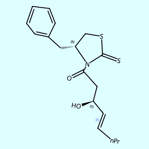 CCC/C=C/[C@@H](O)CC(=O)N1C(=S)SC[C@H]1Cc1ccccc1